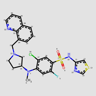 CN(c1cc(F)c(S(=O)(=O)Nc2cscn2)cc1Cl)[C@H]1CCN(Cc2cccc3cccnc23)C1